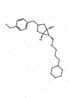 CCc1ccc(CN2C[C@@H]3[C@@H](COCCCN4CCCCC4)[C@@H]3C2)cc1